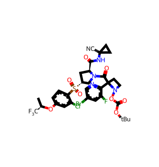 C[C@H](Oc1ccc(S(=O)(=O)[C@@H]2C[C@@H](C(=O)NC3(C#N)CC3)N(C(=O)C3(c4ncc(Br)cc4F)CCN3OC(=O)OC(C)(C)C)C2)c(Cl)c1)C(F)(F)F